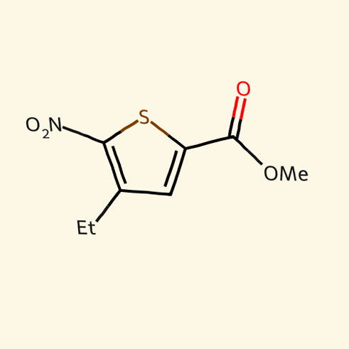 CCc1cc(C(=O)OC)sc1[N+](=O)[O-]